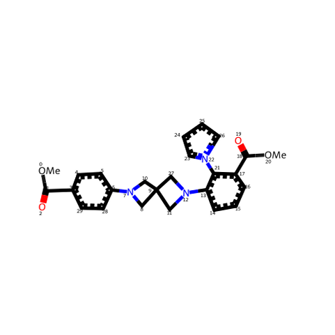 COC(=O)c1ccc(N2CC3(C2)CN(c2cccc(C(=O)OC)c2-n2cccc2)C3)cc1